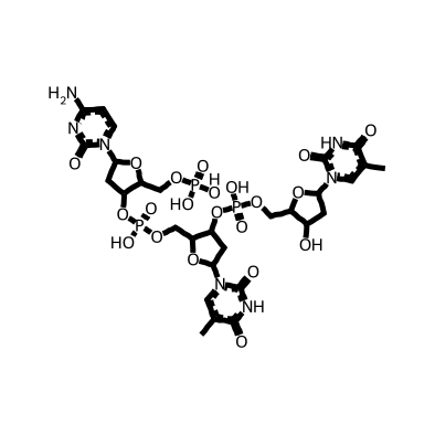 Cc1cn(C2CC(O)C(COP(=O)(O)OC3CC(n4cc(C)c(=O)[nH]c4=O)OC3COP(=O)(O)OC3CC(n4ccc(N)nc4=O)OC3COP(=O)(O)O)O2)c(=O)[nH]c1=O